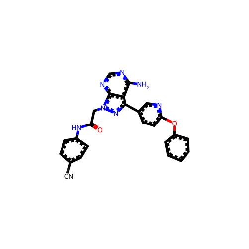 N#Cc1ccc(NC(=O)Cn2nc(-c3ccc(Oc4ccccc4)nc3)c3c(N)ncnc32)cc1